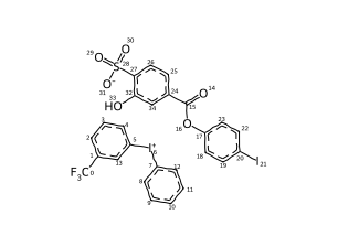 FC(F)(F)c1cccc([I+]c2ccccc2)c1.O=C(Oc1ccc(I)cc1)c1ccc(S(=O)(=O)[O-])c(O)c1